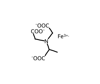 CC(C(=O)[O-])N(CC(=O)[O-])CC(=O)[O-].[Fe+3]